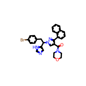 O=C(c1cn(C(Cc2ccc(Br)cc2)c2cnc[nH]2)nc1-c1cccc2ccccc12)N1CCOCC1